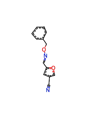 N#Cc1coc(C=NOCc2ccccc2)c1